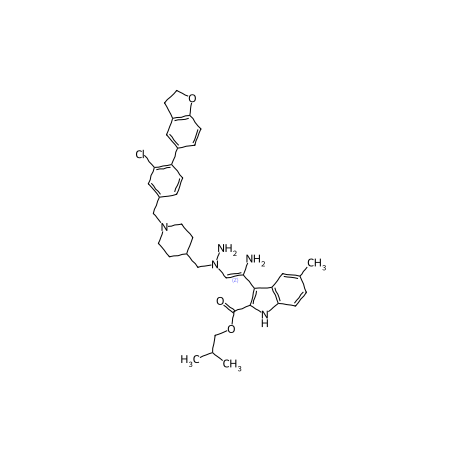 Cc1ccc2[nH]c(C(=O)OCC(C)C)c(/C(N)=C/N(N)CC3CCN(Cc4ccc(-c5ccc6c(c5)CCO6)c(Cl)c4)CC3)c2c1